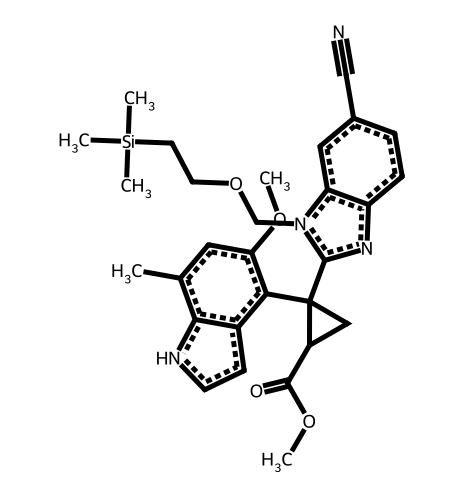 COC(=O)C1CC1(c1c(OC)cc(C)c2[nH]ccc12)c1nc2ccc(C#N)cc2n1COCC[Si](C)(C)C